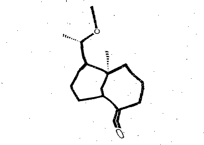 CO[C@@H](C)C1CCC2C(=O)CCC[C@@]21C